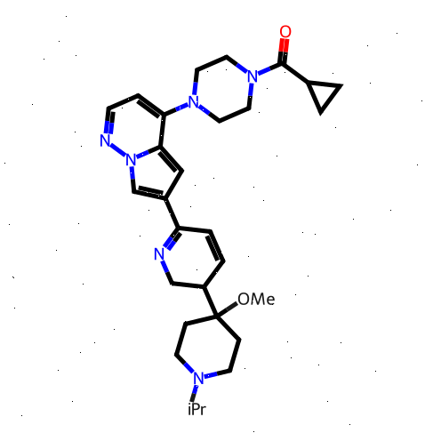 COC1(C2C=CC(c3cc4c(N5CCN(C(=O)C6CC6)CC5)ccnn4c3)=NC2)CCN(C(C)C)CC1